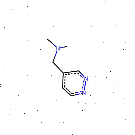 CN(C)Cc1[c]nncc1